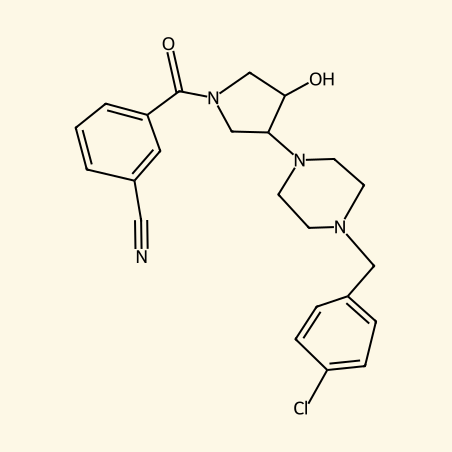 N#Cc1cccc(C(=O)N2CC(O)C(N3CCN(Cc4ccc(Cl)cc4)CC3)C2)c1